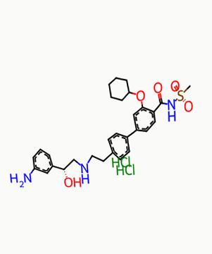 CS(=O)(=O)NC(=O)c1ccc(-c2ccc(CCNC[C@H](O)c3cccc(N)c3)cc2)cc1OC1CCCCC1.Cl.Cl